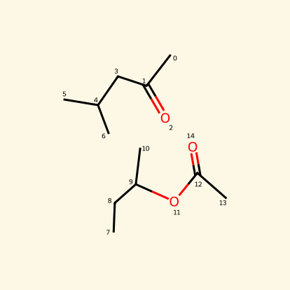 CC(=O)CC(C)C.CCC(C)OC(C)=O